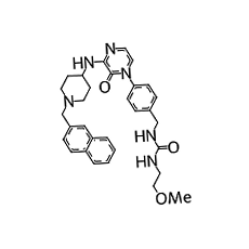 COCCNC(=O)NCc1ccc(-n2ccnc(NC3CCN(Cc4ccc5ccccc5c4)CC3)c2=O)cc1